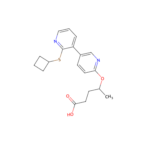 CC(CCC(=O)O)Oc1ccc(-c2cccnc2SC2CCC2)cn1